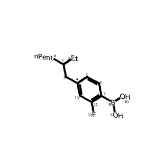 CCCCCC(CC)Cc1ccc(B(O)O)c(F)c1